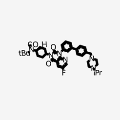 CC(C)N1CCN(Cc2ccc(-c3cccc(-n4c(=O)n(C5CCC(N(C(=O)O)C(C)(C)C)CC5)c(=O)c5cc(F)cnc54)c3)cc2)CC1